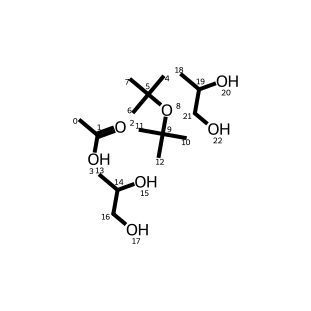 CC(=O)O.CC(C)(C)OC(C)(C)C.CC(O)CO.CC(O)CO